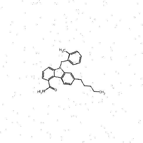 CCCCCc1c[c]c2c3c(C(N)=O)cccc3n(Cc3ccccc3C)c2c1